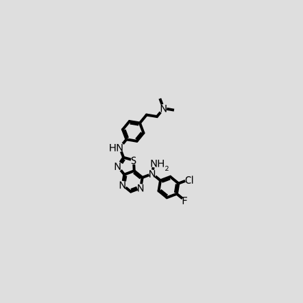 CN(C)CCc1ccc(Nc2nc3ncnc(N(N)c4ccc(F)c(Cl)c4)c3s2)cc1